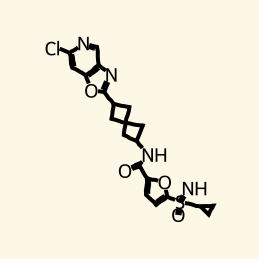 N=S(=O)(c1ccc(C(=O)NC2CC3(C2)CC(c2nc4cnc(Cl)cc4o2)C3)o1)C1CC1